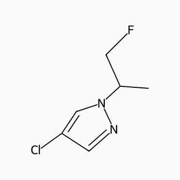 CC(CF)n1cc(Cl)cn1